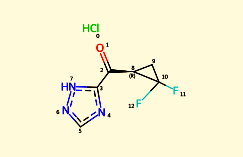 Cl.O=C(c1ncn[nH]1)[C@H]1CC1(F)F